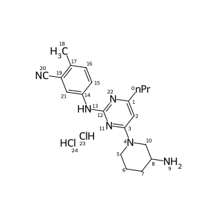 CCCc1cc(N2CCCC(N)C2)nc(Nc2ccc(C)c(C#N)c2)n1.Cl.Cl